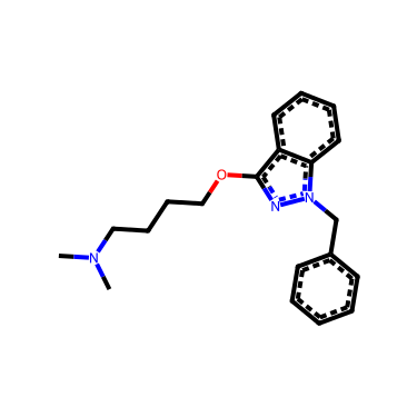 CN(C)CCCCOc1nn(Cc2ccccc2)c2ccccc12